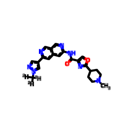 [2H]C([2H])([2H])n1cc(-c2cc3cc(NC(=O)c4coc(C5CCN(C)CC5)n4)ncc3cn2)cn1